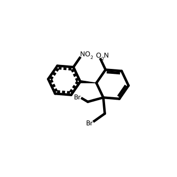 O=[N+]([O-])C1=CC=CC(CBr)(CBr)[C@H]1c1ccccc1[N+](=O)[O-]